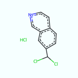 Cl.ClC(Cl)c1ccc2ccncc2c1